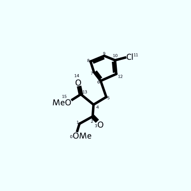 COCC(=O)C(Cc1cccc(Cl)c1)C(=O)OC